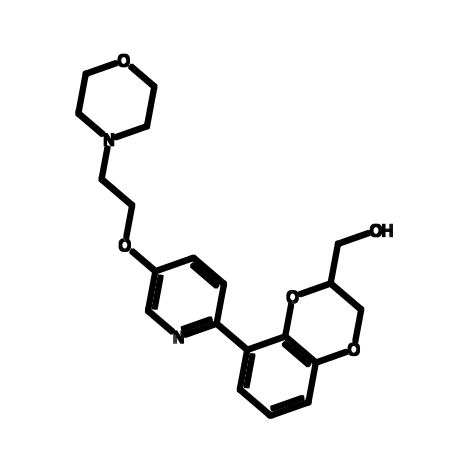 OCC1COc2cccc(-c3ccc(OCCN4CCOCC4)cn3)c2O1